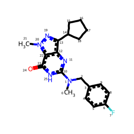 CN(Cc1ccc(F)cc1)c1nc2c(C3CCCC3)nn(C)c2c(=O)[nH]1